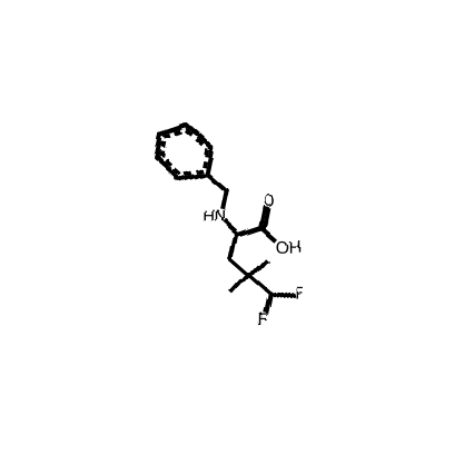 CC(C)(CC(NCc1ccccc1)C(=O)O)C(F)F